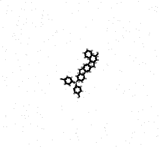 Cc1ccc(N(c2ccc(C)cc2)c2ccc3c(c2)Cc2cc4c(cc2-3)Cc2cc(C)c3ccccc3c2-4)cc1